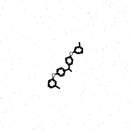 Cc1cccc(Oc2ccc(C(C)c3ccc(Oc4cccc(C)c4)cc3)cc2)c1